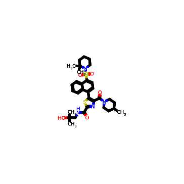 CC1CCN(C(=O)c2nc(C(=O)NCC(C)(C)O)sc2-c2ccc(S(=O)(=O)N3CCCCC3(C)C)c3ccccc23)CC1